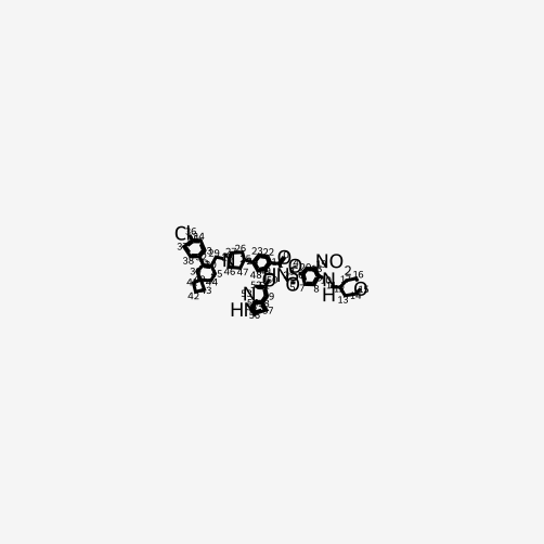 O=C(NS(=O)(=O)c1ccc(NCC2CCOCC2)c([N+](=O)[O-])c1)c1ccc(C2CCN(CC3=C(c4ccc(Cl)cc4)CC4(CCC4)CC3)CC2)cc1Oc1cnc2[nH]ccc2c1